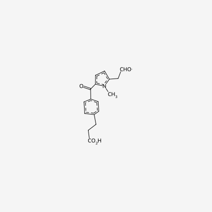 Cn1c(C[C]=O)ccc1C(=O)c1ccc(CCC(=O)O)cc1